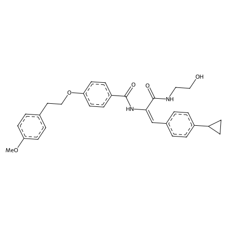 COc1ccc(CCOc2ccc(C(=O)NC(=Cc3ccc(C4CC4)cc3)C(=O)NCCO)cc2)cc1